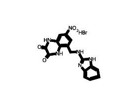 Br.O=c1[nH]c2cc([N+](=O)[O-])cc(CNc3nc4ccccc4[nH]3)c2[nH]c1=O